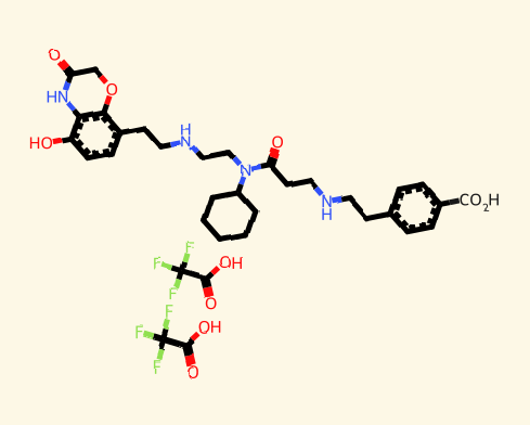 O=C(O)C(F)(F)F.O=C(O)C(F)(F)F.O=C1COc2c(CCNCCN(C(=O)CCNCCc3ccc(C(=O)O)cc3)C3CCCCC3)ccc(O)c2N1